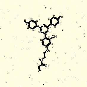 C=CC(=O)OCCOc1ccc(-c2nc(-c3ccc(C)cc3)nc(-c3ccc(C)cc3)n2)c(O)c1